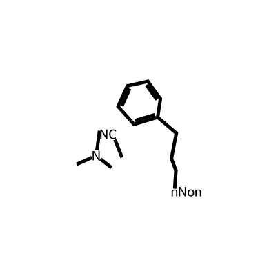 CC#N.CCCCCCCCCCCCc1ccccc1.CN(C)C